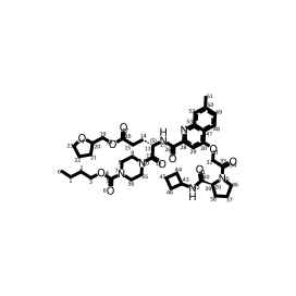 CCCCOC(=O)N1CCN(C(=O)[C@H](CCC(=O)OCC2CCCO2)NC(=O)c2cc(OCC(=O)N3CCC[C@H]3C(=O)NC3CCC3)c3ccc(C)cc3n2)CC1